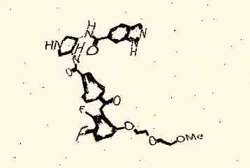 COCCOCCOc1ccc(F)c(F)c1C(=O)c1ccc(C(=O)N[C@@H]2CNC[C@@H]2NC(=O)c2ccc3cn[nH]c3c2)cc1